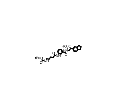 CC(C)(C)OC(=O)NCCCCC(=O)Nc1cccc(C(=O)NCC(C(=O)O)c2ccc3c(c2)CCC3)c1